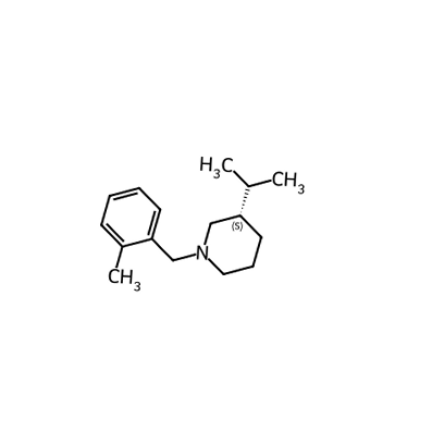 Cc1ccccc1CN1CCC[C@@H](C(C)C)C1